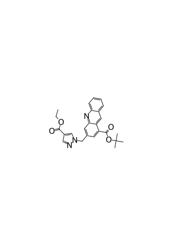 CCOC(=O)c1cnn(Cc2cc(C(=O)OC(C)(C)C)c3cc4ccccc4nc3c2)c1